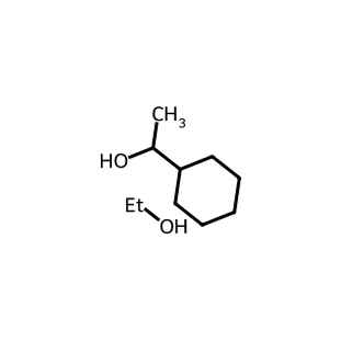 CC(O)C1CCCCC1.CCO